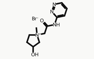 C[N+]1(CC(=O)Nc2cccnn2)CCC(O)C1.[Br-]